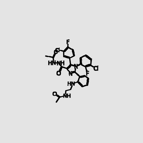 CC(=O)NCCNc1ccccc1-c1nc(C(=O)NNC(C)=O)c(-c2ccc(F)c(Cl)c2)n1-c1cccc(Cl)c1F